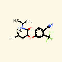 CC(C)CC(Oc1ccc(C#N)c(C(F)(F)F)c1)C(=O)NC(C)C